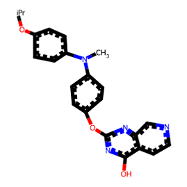 CC(C)Oc1ccc(N(C)c2ccc(Oc3nc(O)c4ccncc4n3)cc2)cc1